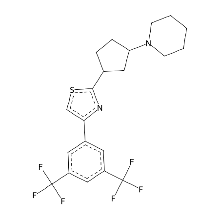 FC(F)(F)c1cc(-c2csc(C3CCC(N4CCCCC4)C3)n2)cc(C(F)(F)F)c1